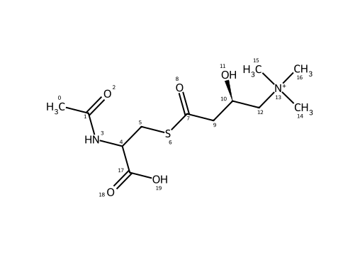 CC(=O)NC(CSC(=O)C[C@@H](O)C[N+](C)(C)C)C(=O)O